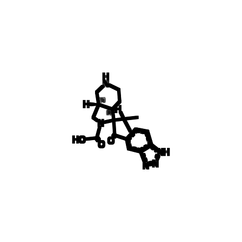 CC(C)(C)C1(C(=O)c2ccc3[nH]nnc3c2)[C@@H]2CCNC[C@H]2CN1C(=O)O